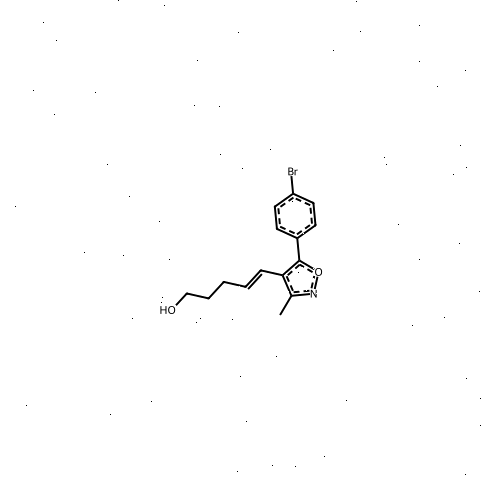 Cc1noc(-c2ccc(Br)cc2)c1C=CCCCO